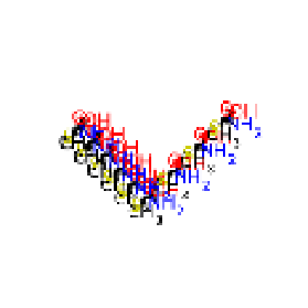 CSCC[C@H](N)C(=O)O.CSCC[C@H](N)C(=O)O.CSCC[C@H](N)C(=O)O.CSCC[C@H](N)C(=O)O.CSCC[C@H](N)C(=O)O.CSCC[C@H](N)C(=O)O.CSCC[C@H](N)C(=O)O.CSCC[C@H](N)C(=O)O.CSCC[C@H](N)C(=O)O